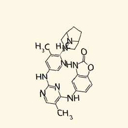 Cc1cnc(Nc2cnc(N3CC4CCC(C3)N4C)c(C)c2)nc1Nc1ccc2oc(=O)[nH]c2c1